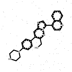 OCc1nn2c(-c3ccnc4ccccc34)cnc2cc1-c1ccc(N2CCNCC2)cc1